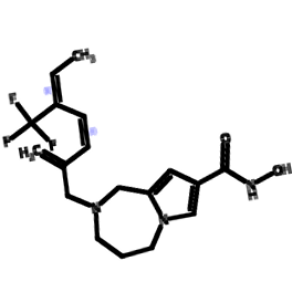 C=C(/C=C\C(=C/C)C(F)(F)F)CN1CCCn2cc(C(=O)NO)cc2C1